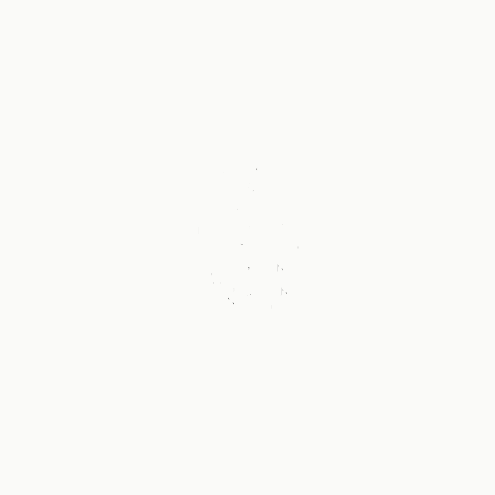 COc1c(CC(C)(F)F)ccn2ncc([N+](=O)[O-])c12